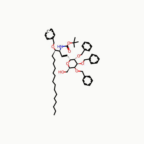 CCCCCCCCCCCCCCC[C@@H](OCc1ccccc1)[C@H](/C=C/[C@H]1O[C@H](CO)[C@H](OCc2ccccc2)[C@H](OCc2ccccc2)[C@H]1OCc1ccccc1)NC(=O)OC(C)(C)C